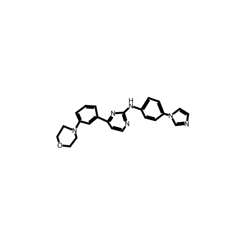 c1cc(-c2ccnc(Nc3ccc(-n4ccnc4)cc3)n2)cc(N2CCOCC2)c1